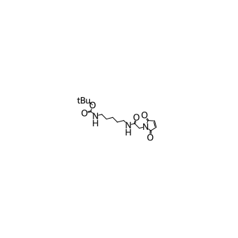 CC(C)(C)OC(=O)NCCCCCNC(=O)CN1C(=O)C=CC1=O